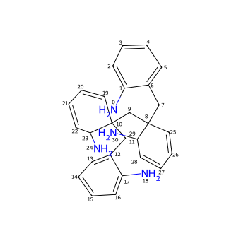 Nc1ccccc1CC1(CC2(Cc3ccccc3N)C=CC=CC2N)C=CC=CC1N